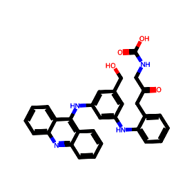 O=C(CNC(=O)O)Cc1ccccc1Nc1cc(CO)cc(Nc2c3ccccc3nc3ccccc23)c1